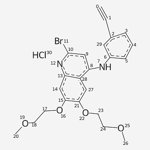 C#Cc1cccc(Nc2cc(Br)nc3cc(OCCOC)c(OCCOC)cc23)c1.Cl